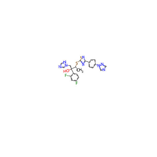 CC(Sc1nc(-c2ccc(-n3cncn3)cc2)ns1)C(O)(Cn1cncn1)c1ccc(F)cc1F